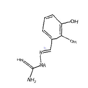 N=C(N)N/N=C/c1cccc(O)c1O